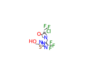 O=C1CN(Cc2c(C(F)(F)F)nc3sc(CO)nn23)C[C@H]1CC(F)(F)Cl